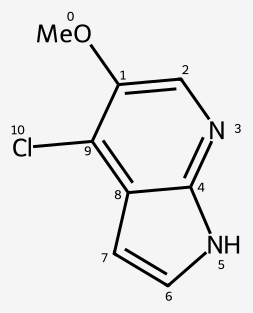 COc1cnc2[nH]ccc2c1Cl